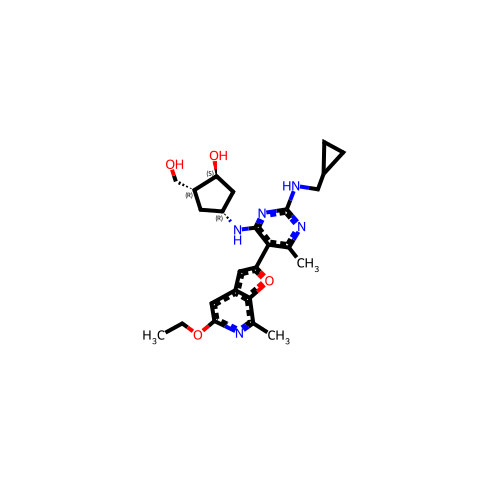 CCOc1cc2cc(-c3c(C)nc(NCC4CC4)nc3N[C@@H]3C[C@H](CO)[C@@H](O)C3)oc2c(C)n1